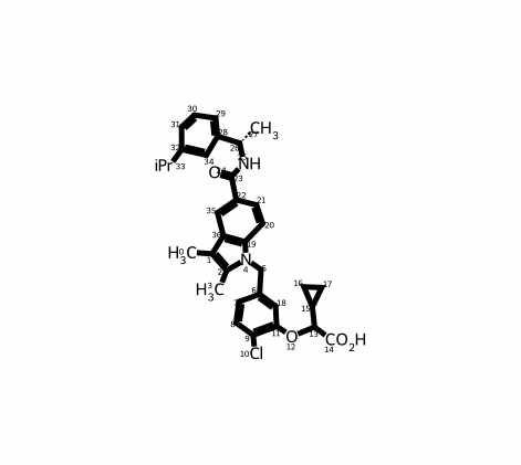 Cc1c(C)n(Cc2ccc(Cl)c(OC(C(=O)O)C3CC3)c2)c2ccc(C(=O)N[C@@H](C)c3cccc(C(C)C)c3)cc12